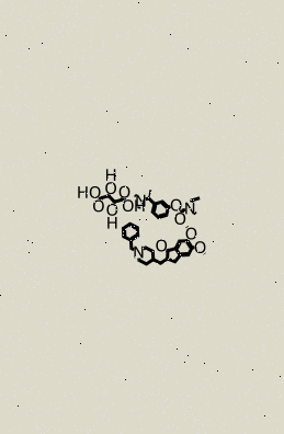 CCN(C)C(=O)Oc1cccc([C@H](C)N(C)C)c1.COc1cc2c(cc1OC)C(=O)C(CC1CCN(Cc3ccccc3)CC1)C2.O=C(O)C(O)C(O)C(=O)O